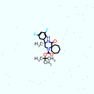 CC(C)(C)OC(=O)N1C[C@@](C)(C2C=C(F)C=C(F)C2)NC(=O)C12CCCCCC2